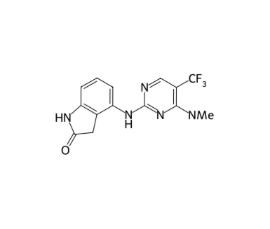 CNc1nc(Nc2cccc3c2CC(=O)N3)ncc1C(F)(F)F